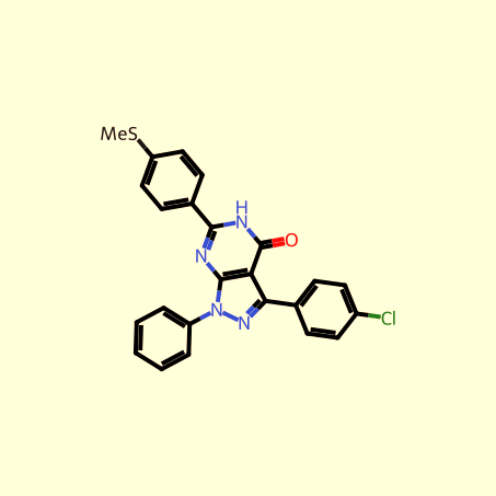 CSc1ccc(-c2nc3c(c(-c4ccc(Cl)cc4)nn3-c3ccccc3)c(=O)[nH]2)cc1